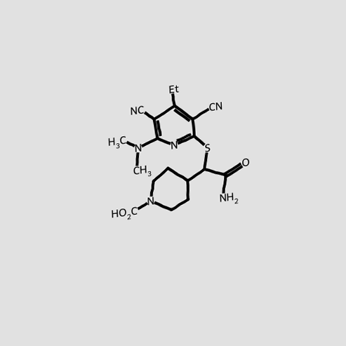 CCc1c(C#N)c(SC(C(N)=O)C2CCN(C(=O)O)CC2)nc(N(C)C)c1C#N